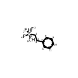 C[SH](F)(F)(F)CCc1ccccc1